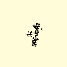 Cn1c(N2CCN(CCCOc3ccc([N+](=O)[O-])cc3C#N)CC2)cc(=O)n(C)c1=O.O=C(O)C(=O)O